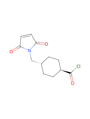 O=C1C=CC(=O)N1C[C@H]1CC[C@H](C(=O)Cl)CC1